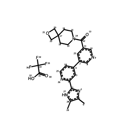 Cc1nc(-c2cc(-c3cncc(C(=O)N4CCC5(CC4)COC5)c3)ccn2)[nH]c1C.O=C(O)C(F)(F)F